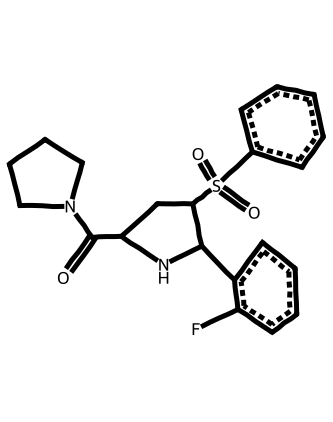 O=C(C1CC(S(=O)(=O)c2ccccc2)C(c2ccccc2F)N1)N1CCCC1